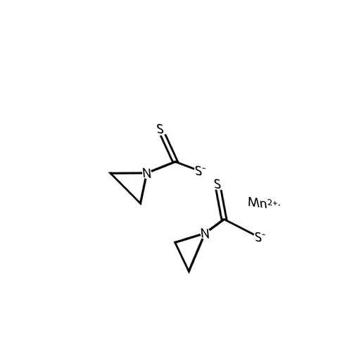 S=C([S-])N1CC1.S=C([S-])N1CC1.[Mn+2]